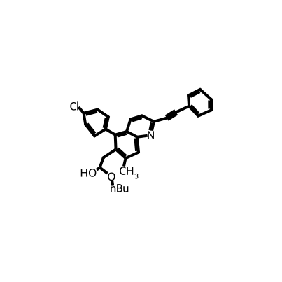 CCCCOC(O)Cc1c(C)cc2nc(C#Cc3ccccc3)ccc2c1-c1ccc(Cl)cc1